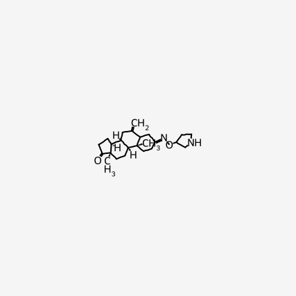 C=C1C[C@@H]2[C@@H](CC[C@]3(C)C(=O)CC[C@@H]23)[C@@]2(C)CCC(=NOC3CCNC3)CC12